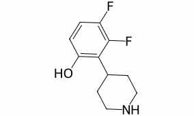 Oc1ccc(F)c(F)c1C1CCNCC1